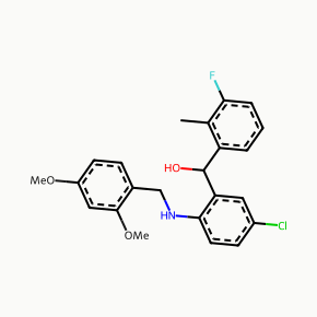 COc1ccc(CNc2ccc(Cl)cc2C(O)c2cccc(F)c2C)c(OC)c1